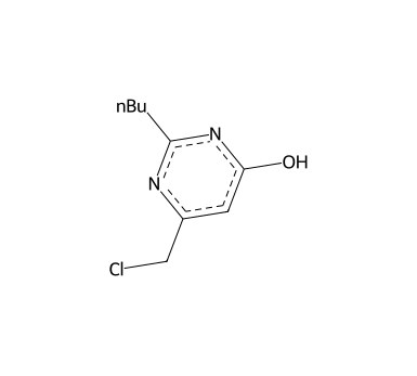 CCCCc1nc(O)cc(CCl)n1